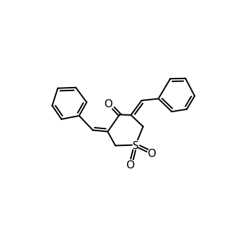 O=C1/C(=C/c2ccccc2)CS(=O)(=O)C/C1=C/c1ccccc1